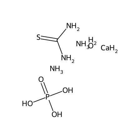 N.N.NC(N)=S.O.O=P(O)(O)O.[CaH2]